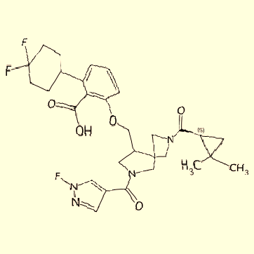 CC1(C)C[C@@H]1C(=O)N1CC2(CN(C(=O)c3cnn(F)c3)CC2COc2cccc(C3CCC(F)(F)CC3)c2C(=O)O)C1